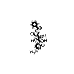 Nc1ccn([C@H](O)[C@H](O)[C@H](O)[C@@H](CCl)COC(=O)c2ccccc2)c(=O)n1